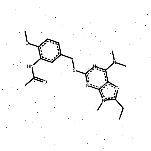 CCc1nc2c(N(C)C)nc(SCc3ccc(OC)c(NC(C)=O)c3)nc2n1C